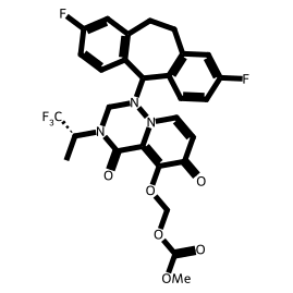 COC(=O)OCOc1c2n(ccc1=O)N(C1c3ccc(F)cc3CCc3cc(F)ccc31)CN([C@H](C)C(F)(F)F)C2=O